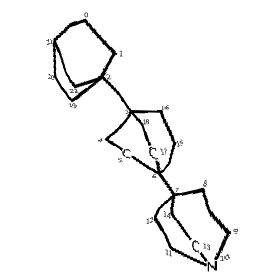 C1CC2(C34CCC(C56CCN(CC5)CC6)(CC3)CC4)CCC1C2